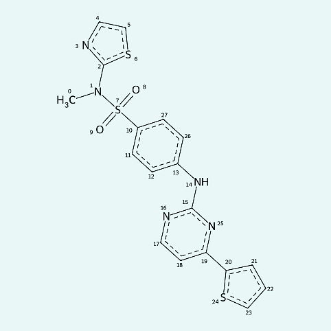 CN(c1nccs1)S(=O)(=O)c1ccc(Nc2nccc(-c3cccs3)n2)cc1